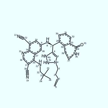 C=CCCN1C=C([C@@H](Nc2cc(C#N)c3ncc(C#N)c(NCC(C)(C)C)c3c2)c2cccc3c(=O)[nH]ccc23)NN1